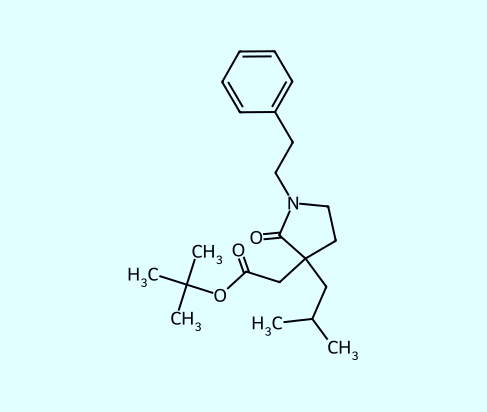 CC(C)CC1(CC(=O)OC(C)(C)C)CCN(CCc2ccccc2)C1=O